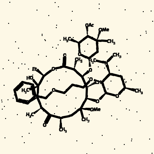 CC[C@H]1OC(=O)[C@H](C)[C@@H](O[C@H]2C[C@@](C)(OC)[C@@H](OC(C)=O)[C@H](C)O2)[C@H](C)[C@@H](O[C@@H]2O[C@H](C)C[C@H](N(C)C)[C@H]2OCCCOCc2ccccc2)[C@@](C)(OC)C[C@@H](C)C(=O)[C@H](C)[C@@H](O)[C@]1(C)O